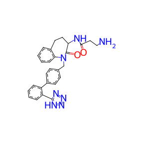 NCCC(=O)NC1CCc2ccccc2N(Cc2ccc(-c3ccccc3-c3nnn[nH]3)cc2)C1=O